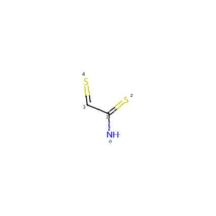 [NH]C(=S)C=S